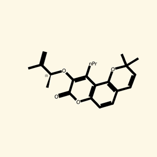 C=C(C)[C@H](C)Oc1c(CCC)c2c3c(ccc2oc1=O)C=CC(C)(C)O3